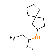 CCC(C)PC1CCC2(CCCC2)C1